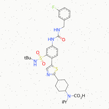 CC(C)N(C(=O)O)C1CCC(c2ncc(-c3ccc(NC(=O)NCc4cccc(F)c4)cc3S(=O)(=O)NC(C)(C)C)s2)CC1